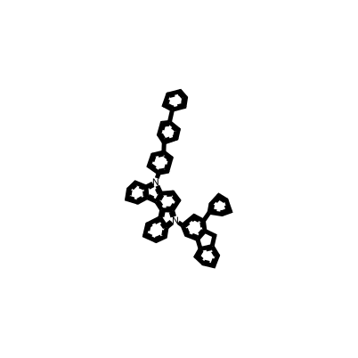 c1ccc(-c2ccc(-c3ccc(-n4c5ccccc5c5c6c7ccccc7n(-c7cc(-c8ccccc8)c8c(c7)-c7ccccc7C8)c6ccc54)cc3)cc2)cc1